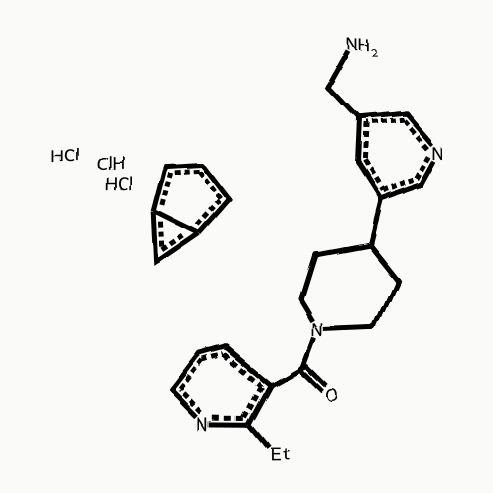 CCc1ncccc1C(=O)N1CCC(c2cncc(CN)c2)CC1.Cl.Cl.Cl.c1cc2cc-2c1